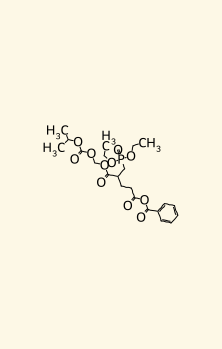 CCOP(=O)(CC(CCC(=O)OC(=O)c1ccccc1)C(=O)OCOC(=O)OC(C)C)OCC